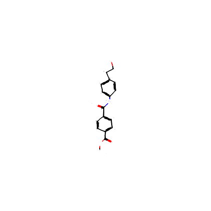 COC(=O)c1ccc(C(=O)Nc2ccc(CC[O])cc2)cc1